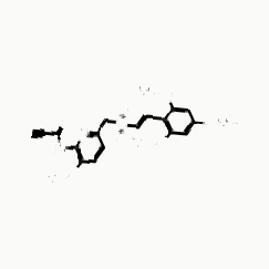 C#CC(=O)Nc1nc(CS(=O)(=O)/C=C/c2c(OC)cc(OC)cc2OC)ccc1OC